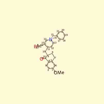 COc1ccc2c(c1)CCC(Cc1cc[n+](Cc3ccccc3)cc1C(C)=O)C2=O.[Br-]